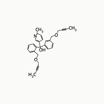 CC#CCOCc1cccc(C(O)(c2ccc(C)nc2)c2ccccc2COCC#CC)c1